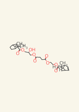 C[C@@H]1C2C=CC1C(C)(C(=O)OCCOC(=O)CCC(=O)OCC(O)COC(=O)C1(C)CC3CCC1[C@H]3C)C2